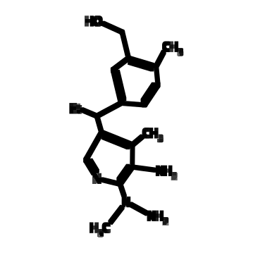 CCC(c1ccc(C)c(CO)c1)c1cnc(N(C)N)c(N)c1C